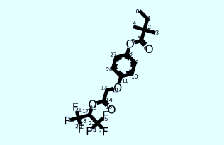 CCC(C)(C)C(=O)Oc1ccc(OCC(=O)OC(C(F)(F)F)C(F)(F)F)cc1